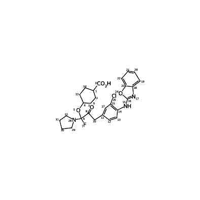 O=C(O)C1CCC(OC(F)(C(=O)Cc2ccc(Nc3nc4ccccc4o3)c(Cl)c2)N2CCCC2)CC1